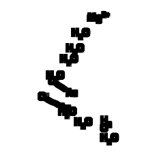 CC(=O)[O-].CC(=O)[O-].O.O.O.O.O.O.O.O.[Mg+2]